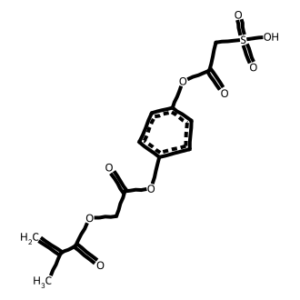 C=C(C)C(=O)OCC(=O)Oc1ccc(OC(=O)CS(=O)(=O)O)cc1